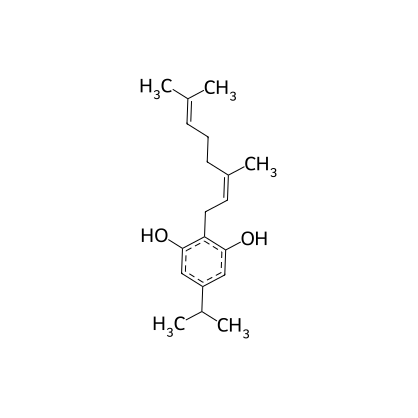 CC(C)=CCCC(C)=CCc1c(O)cc(C(C)C)cc1O